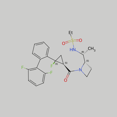 CCS(=O)(=O)N[C@H](C)[C@@H]1CCN1C(=O)[C@@H]1C[C@@]1(F)c1ccccc1-c1c(F)cccc1F